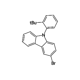 CC(C)(C)c1ccccc1-n1c2ccccc2c2cc(Br)ccc21